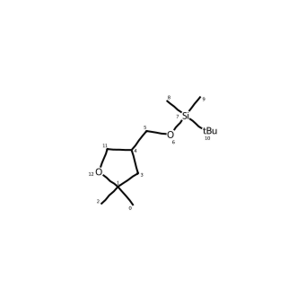 CC1(C)CC(CO[Si](C)(C)C(C)(C)C)CO1